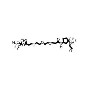 CC1(NCC=O)CCC(NC(=O)CCOCCOCCOCCC(=O)OC(C)(C)C)C1